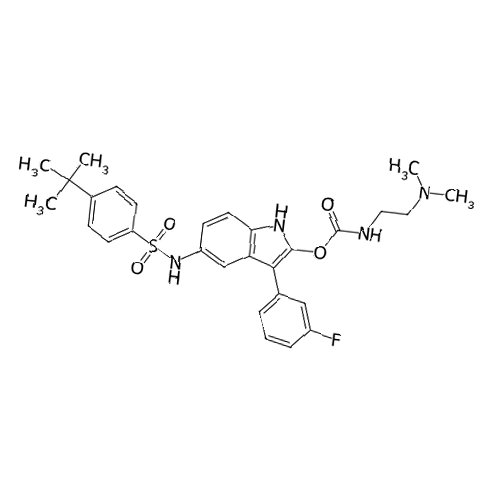 CN(C)CCNC(=O)Oc1[nH]c2ccc(NS(=O)(=O)c3ccc(C(C)(C)C)cc3)cc2c1-c1cccc(F)c1